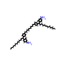 CCCCCCCCCCCCC(c1ccc(CCCCCCCCCc2ccc(C(CCCCCCCCCCCC)c3ccc(N)cc3C)cc2)cc1)c1ccc(N)cc1C